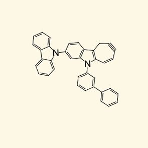 C1#CCc2c(n(-c3cccc(-c4ccccc4)c3)c3cc(-n4c5ccccc5c5ccccc54)ccc23)C=C1